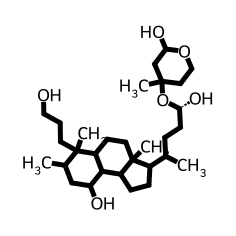 CC(CC[C@@H](O)OC1(C)CCOC(O)C1)C1CCC2C3C(O)CC(C)C(C)(CCCO)C3CCC12C